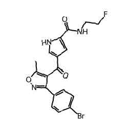 Cc1onc(-c2ccc(Br)cc2)c1C(=O)c1c[nH]c(C(=O)NCCF)c1